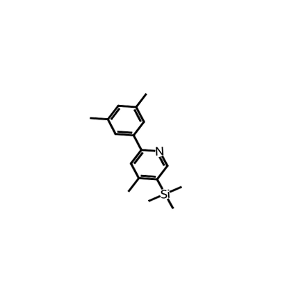 Cc1cc(C)cc(-c2cc(C)c([Si](C)(C)C)cn2)c1